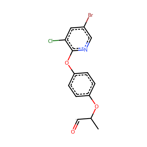 CC([C]=O)Oc1ccc(Oc2ncc(Br)cc2Cl)cc1